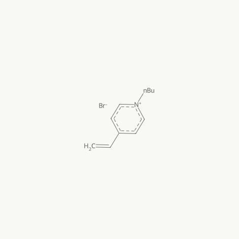 C=Cc1cc[n+](CCCC)cc1.[Br-]